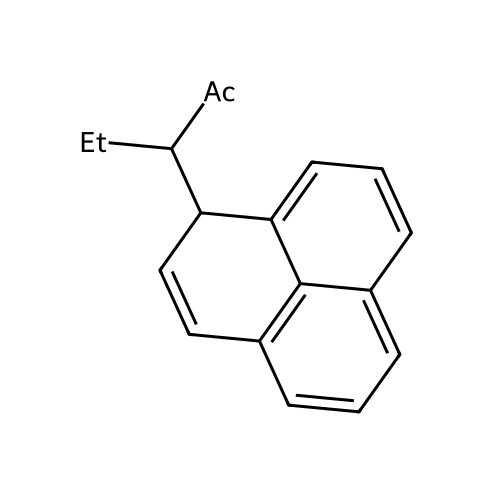 CCC(C(C)=O)C1C=Cc2cccc3cccc1c23